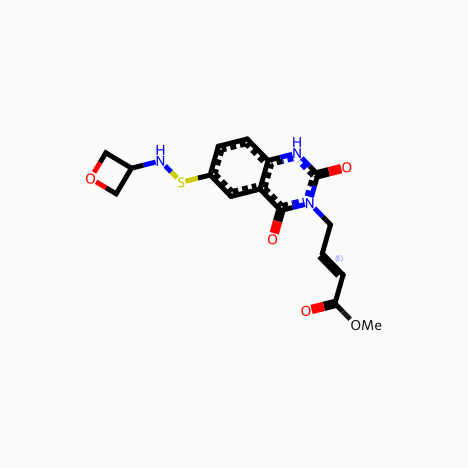 COC(=O)/C=C/Cn1c(=O)[nH]c2ccc(SNC3COC3)cc2c1=O